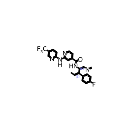 C=N/C=C(NC(=O)c1ccnc(Nc2ccc(C(F)(F)F)cn2)c1)\C(=C/C)c1ccc(F)cc1